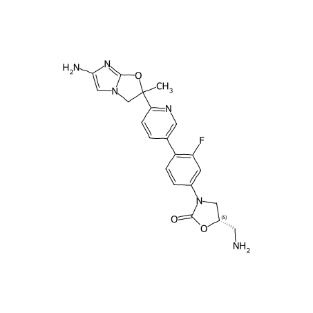 CC1(c2ccc(-c3ccc(N4C[C@H](CN)OC4=O)cc3F)cn2)Cn2cc(N)nc2O1